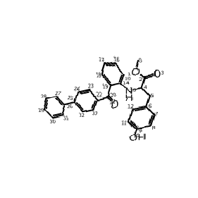 COC(=O)C(Cc1ccc(O)cc1)Nc1ccccc1C(=O)c1ccc(-c2ccccc2)cc1